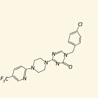 O=c1nc(N2CCN(c3ccc(C(F)(F)F)cn3)CC2)ncn1Cc1ccc(Cl)cc1